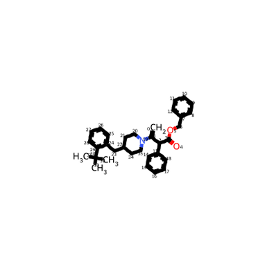 C=C(C(C(=O)OCc1ccccc1)c1ccccc1)N1CCC(Cc2ccccc2C(C)(C)C)CC1